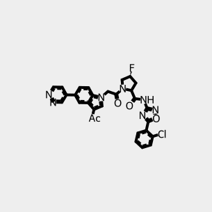 CC(=O)c1cn(CC(=O)N2C[C@H](F)CC2C(=O)Nc2noc(-c3ccccc3Cl)n2)c2ccc(-c3ccnnc3)cc12